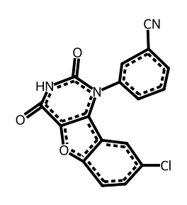 N#Cc1cccc(-n2c(=O)[nH]c(=O)c3oc4ccc(Cl)cc4c32)c1